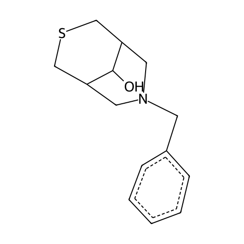 OC1C2CSCC1CN(Cc1ccccc1)C2